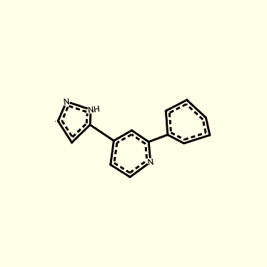 [c]1cc(-c2ccnc(-c3ccccc3)c2)[nH]n1